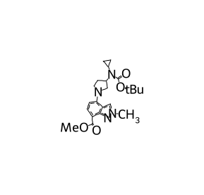 COC(=O)c1ccc(N2CCC(N(C(=O)OC(C)(C)C)C3CC3)C2)c2cn(C)nc12